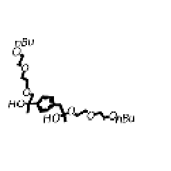 CCCCOCCOCCOCC(C)(O)c1ccc(CC(C)(O)OCCOCCOCCCC)cc1